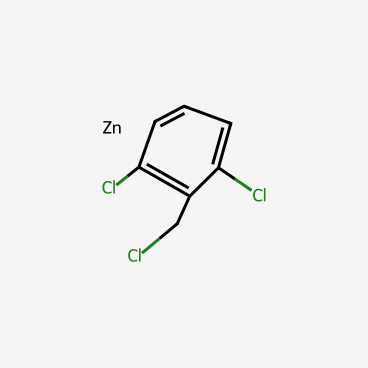 ClCc1c(Cl)cccc1Cl.[Zn]